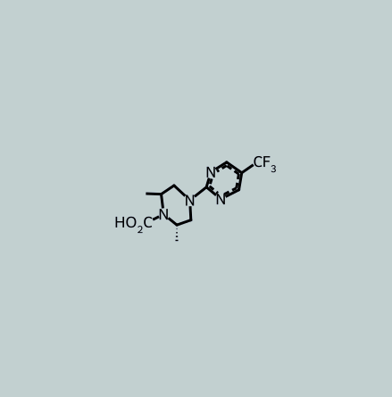 CC1CN(c2ncc(C(F)(F)F)cn2)C[C@H](C)N1C(=O)O